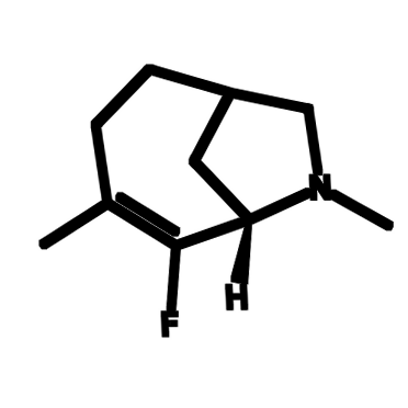 CC1=C(F)[C@@H]2CC(CC1)CN2C